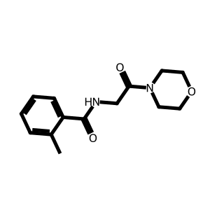 Cc1ccccc1C(=O)NCC(=O)N1CCOCC1